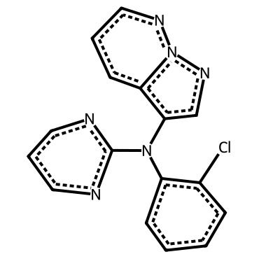 Clc1ccccc1N(c1ncccn1)c1cnn2ncccc12